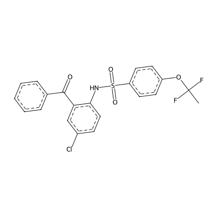 CC(F)(F)Oc1ccc(S(=O)(=O)Nc2ccc(Cl)cc2C(=O)c2ccccc2)cc1